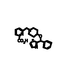 O=C(O)c1cccc(CN2CCC(OC(c3ccccc3)c3nccs3)CC2)n1